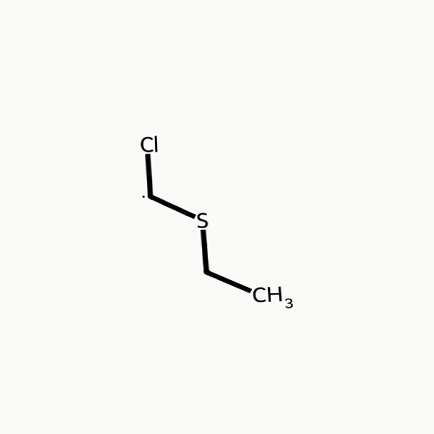 CCS[CH]Cl